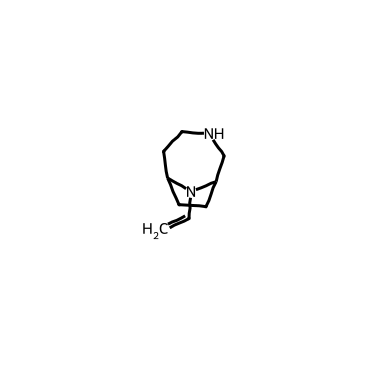 C=CN1C2CCNCC1CC2